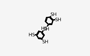 Sc1cc(S)cc(S)c1.Sc1ccc(S)c(S)c1